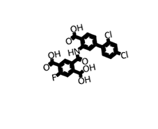 O=C(O)c1cc(C(=O)Nc2cc(-c3ccc(Cl)cc3Cl)ccc2C(=O)O)c(C(O)O)cc1F